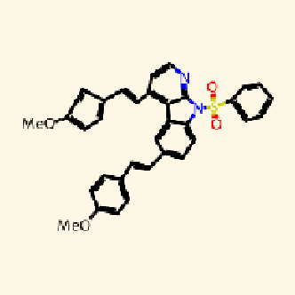 COc1ccc(C=Cc2ccc3c(c2)c2c(C=Cc4ccc(OC)cc4)ccnc2n3S(=O)(=O)c2ccccc2)cc1